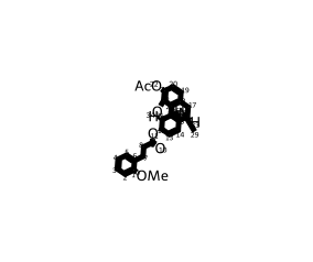 COc1ccccc1CCC(=O)O[C@H]1C=C[C@H]2[C@H]3Cc4ccc(OC(C)=O)c5c4[C@@]2(CCN3C)[C@H]1O5